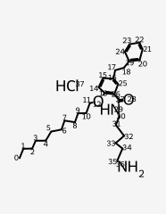 CCCCCCCCCCCCOc1ccc(CCc2ccccc2)cc1C(=O)NCCCCCCN.Cl